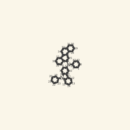 c1ccc(N(c2ccc3c(c2)c2ccccc2n3-c2ccccc2)c2cc3c4ccccc4ccc3c3ccccc23)cc1